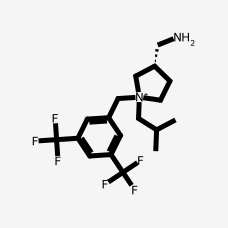 CC(C)C[N+]1(Cc2cc(C(F)(F)F)cc(C(F)(F)F)c2)CC[C@@H](CN)C1